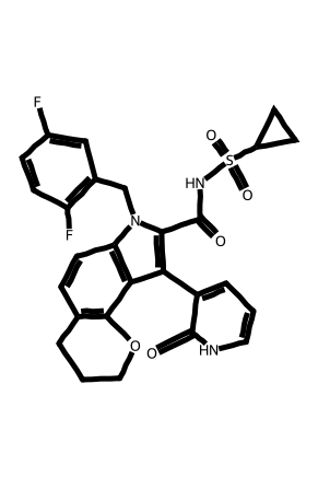 O=C(NS(=O)(=O)C1CC1)c1c(-c2ccc[nH]c2=O)c2c3c(ccc2n1Cc1cc(F)ccc1F)CCCO3